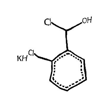 OC(Cl)c1ccccc1Cl.[KH]